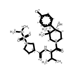 CC(C)[C@@H](NC(=O)[C@@H]1CCN(S(=O)(=O)N(C)C)C1)C(=O)N1CC[C@](O)(c2ccc(Cl)cc2)C(C)(C)C1